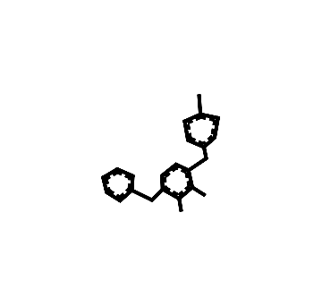 Cc1ccc(Cc2ccc(Cc3ccccc3)c(C)c2C)cc1